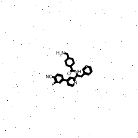 N#Cc1ccc(-c2ccnc(C(Cc3ccccc3)NC(=O)C3CCC(CN)CC3)c2)cc1F